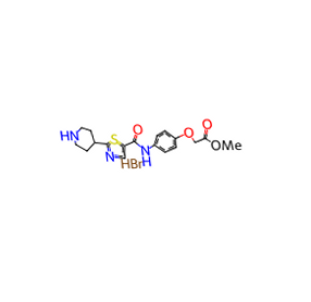 Br.COC(=O)COc1ccc(NC(=O)c2cnc(C3CCNCC3)s2)cc1